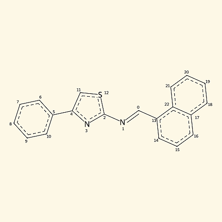 C(=N\c1nc(-c2ccccc2)cs1)/c1cccc2ccccc12